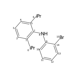 CC(C)c1cccc(C(C)C)c1Nc1ccccc1Br